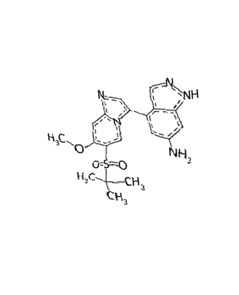 COc1cc2ncc(-c3cc(N)cc4[nH]ncc34)n2cc1S(=O)(=O)C(C)(C)C